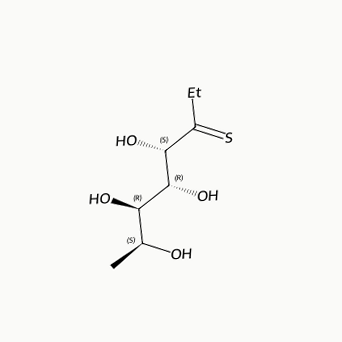 CCC(=S)[C@@H](O)[C@H](O)[C@H](O)[C@H](C)O